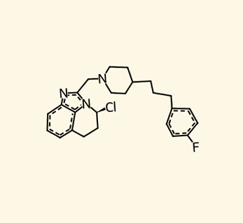 Fc1ccc(CCCC2CCN(Cc3nc4cccc5c4n3[C@@H](Cl)CC5)CC2)cc1